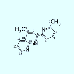 Cc1cccc(-c2cc(C)c3cccnc3n2)n1